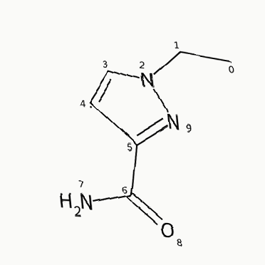 CCn1c[c]c(C(N)=O)n1